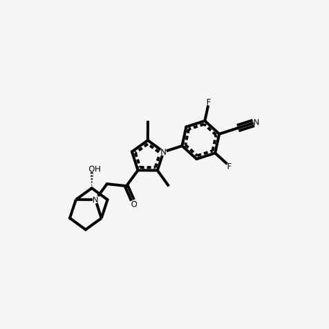 Cc1cc(C(=O)CN2C3CCC2[C@H](O)C3)c(C)n1-c1cc(F)c(C#N)c(F)c1